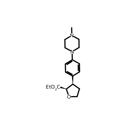 CCOC(=O)[C@@H]1OCC[C@@H]1c1ccc(N2CCN(C)CC2)cc1